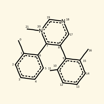 Cc1ccccc1-c1c(-c2c(C)cccc2C)cnc[n+]1C